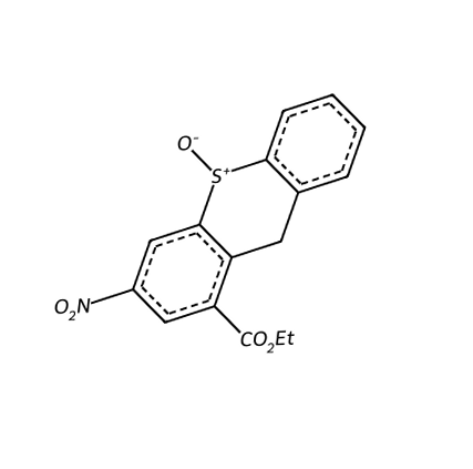 CCOC(=O)c1cc([N+](=O)[O-])cc2c1Cc1ccccc1[S+]2[O-]